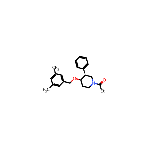 CCC(=O)N1CC[C@@H](OCc2cc(C(F)(F)F)cc(C(F)(F)F)c2)[C@@H](c2ccccc2)C1